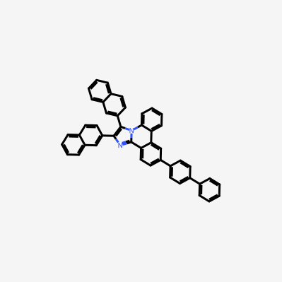 c1ccc(-c2ccc(-c3ccc4c(c3)c3ccccc3n3c(-c5ccc6ccccc6c5)c(-c5ccc6ccccc6c5)nc43)cc2)cc1